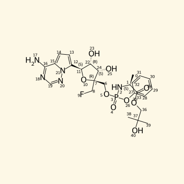 C[C@H](NP(=O)(OC[C@@]1(CF)O[C@@H](c2ccc3c(N)ncnn23)[C@H](O)[C@@H]1O)Oc1ccccc1)C(=O)OCC(C)(C)O